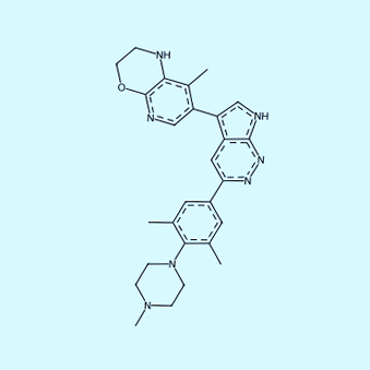 Cc1cc(-c2cc3c(-c4cnc5c(c4C)NCCO5)c[nH]c3nn2)cc(C)c1N1CCN(C)CC1